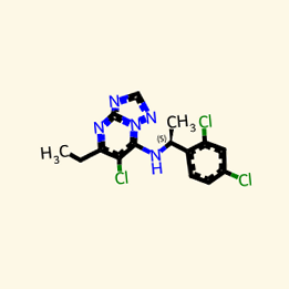 CCc1nc2ncnn2c(N[C@@H](C)c2ccc(Cl)cc2Cl)c1Cl